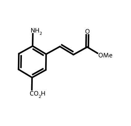 COC(=O)C=Cc1cc(C(=O)O)ccc1N